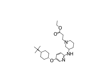 CCOC(=O)CCN1CCCC(Nc2ccc(O[C@H]3CC[C@H](C(C)(C)C)CC3)cn2)C1